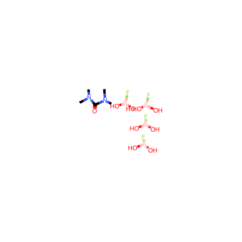 CN(C)C(=O)N(C)C.OB(O)F.OB(O)F.OB(O)F.OB(O)F